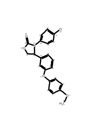 COc1ccc(Oc2cccc(C3COC(=O)N3c3ccc(Cl)cc3)c2)cc1